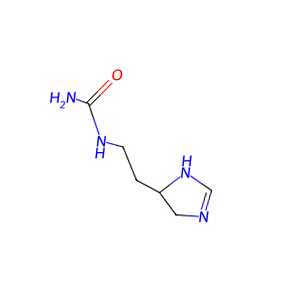 NC(=O)NCCC1CN=CN1